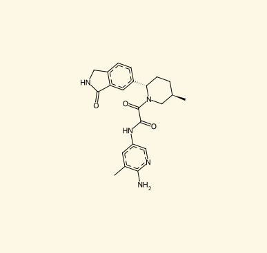 Cc1cc(NC(=O)C(=O)N2C[C@H](C)CC[C@H]2c2ccc3c(c2)C(=O)NC3)cnc1N